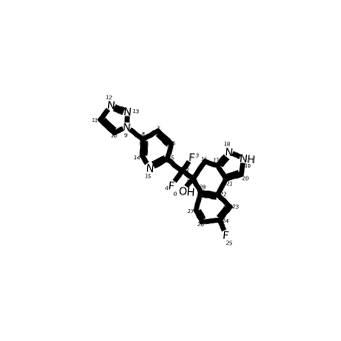 OC1(C(F)(F)c2ccc(-n3ccnn3)cn2)Cc2n[nH]cc2-c2cc(F)ccc21